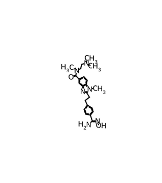 CN(C)CCN(C)C(=O)c1ccc2c(c1)nc(CCc1ccc(C(N)=NO)cc1)n2C